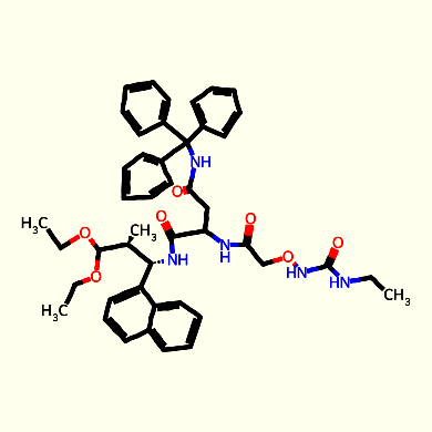 CCNC(=O)NOCC(=O)NC(CC(=O)NC(c1ccccc1)(c1ccccc1)c1ccccc1)C(=O)N[C@H](c1cccc2ccccc12)[C@H](C)C(OCC)OCC